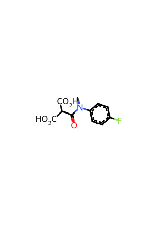 CN(C(=O)C(C(=O)O)C(=O)O)c1ccc(F)cc1